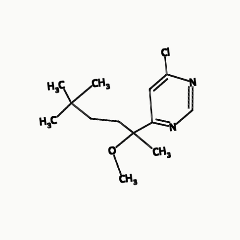 COC(C)(CCC(C)(C)C)c1cc(Cl)ncn1